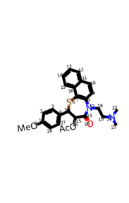 COc1ccc(C2Sc3c(ccc4ccccc34)N(CCN(C)C)C(=O)C2OC(C)=O)cc1